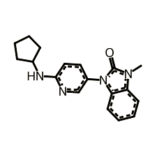 Cn1c(=O)n(-c2ccc(NC3CCCC3)nc2)c2ccccc21